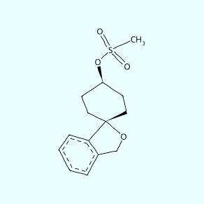 CS(=O)(=O)O[C@H]1CC[C@@]2(CC1)OCc1ccccc12